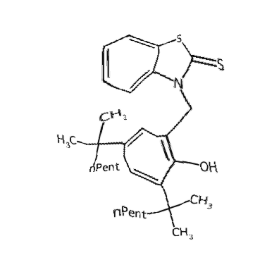 CCCCCC(C)(C)c1cc(Cn2c(=S)sc3ccccc32)c(O)c(C(C)(C)CCCCC)c1